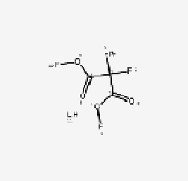 CCCC(F)(C(=O)OF)C(=O)OF.[LiH]